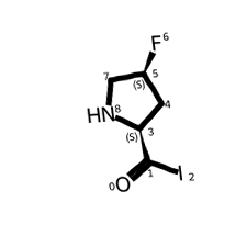 O=C(I)[C@@H]1C[C@H](F)CN1